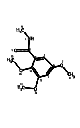 CNC(=O)c1cc(OC)cc(OC)c1OC